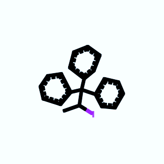 CC(I)C(c1ccccc1)(c1ccccc1)c1ccccc1